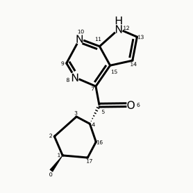 C[C@H]1CC[C@H](C(=O)c2ncnc3[nH]ccc23)CC1